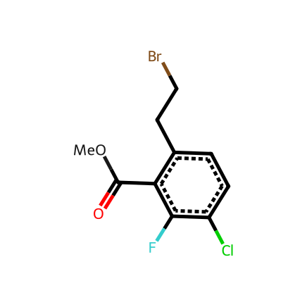 COC(=O)c1c(CCBr)ccc(Cl)c1F